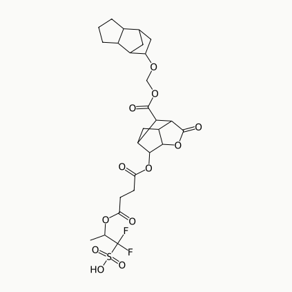 CC(OC(=O)CCC(=O)OC1C2CC3C1OC(=O)C3C2C(=O)OCOC1CC2CC1C1CCCC21)C(F)(F)S(=O)(=O)O